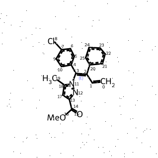 C=C/C(=C(/c1ccc(Cl)cc1)n1nc(C(=O)OC)cc1C)c1ccccc1